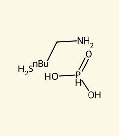 CCCCCN.O=[PH](O)O.S